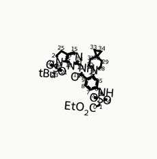 CCOC(=O)CS(=O)(=O)Nc1ccc(C(=O)Nc2ncc3c(n2)N(S(=O)(=O)C(C)(C)C)CC3)c(N2CCC3(CC2)CC3)c1